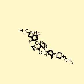 CCN1CCN(c2ccc(Nc3ncnc(Oc4cc(F)c5[nH]c(C)cc5c4F)c3C(=O)N3CCC3)cc2F)CC1